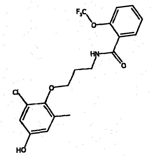 Cc1cc(O)cc(Cl)c1OCCCNC(=O)c1ccccc1OC(F)(F)F